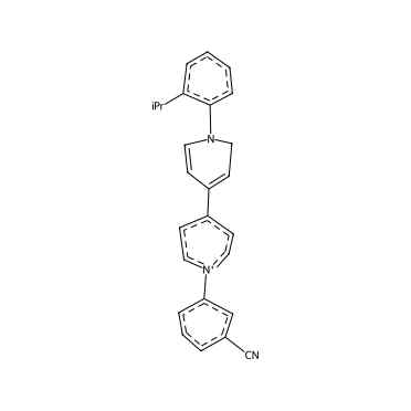 CC(C)c1ccccc1N1C=CC(c2cc[n+](-c3cccc(C#N)c3)cc2)=CC1